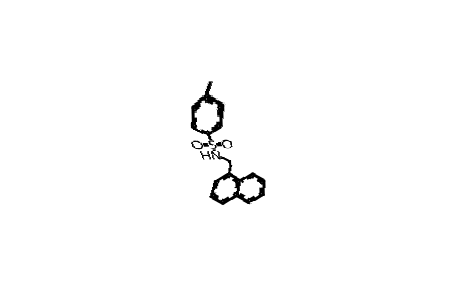 Cc1ccc(S(=O)(=O)NCc2cccc3ccccc23)cc1